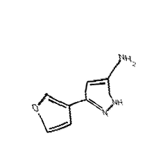 Nc1cc(-c2ccoc2)n[nH]1